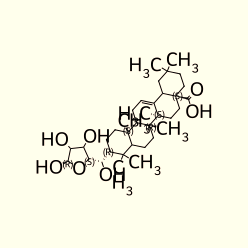 CC1(C)CC[C@]2(C(=O)O)CC[C@]3(C)C(=CCC4[C@@]5(C)CC[C@@H](C(O)[C@@H]6O[C@@H](O)C(O)C6O)C(C)(C)C5CC[C@]43C)C2C1